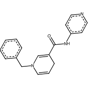 O=C(Nc1ccncc1)C1=CN(Cc2ccccc2)C=CC1